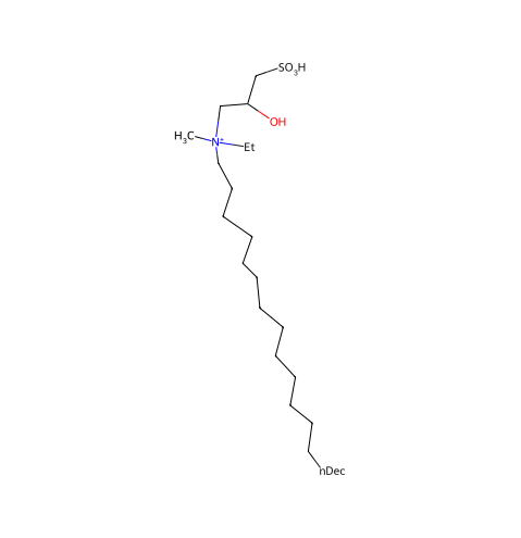 CCCCCCCCCCCCCCCCCCCCCCC[N+](C)(CC)CC(O)CS(=O)(=O)O